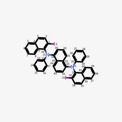 Ic1ccc2ccccc2c1N(c1ccccc1)c1cccc2c(N(c3ccccc3)c3c(I)ccc4ccccc34)cccc12